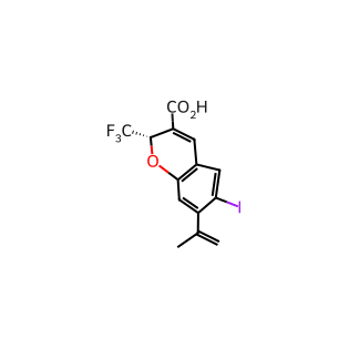 C=C(C)c1cc2c(cc1I)C=C(C(=O)O)[C@@H](C(F)(F)F)O2